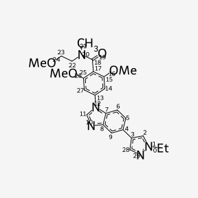 CCn1cc(-c2ccc3c(c2)ncn3-c2cc(OC)c(C(=O)N(C)CCOC)c(OC)c2)cn1